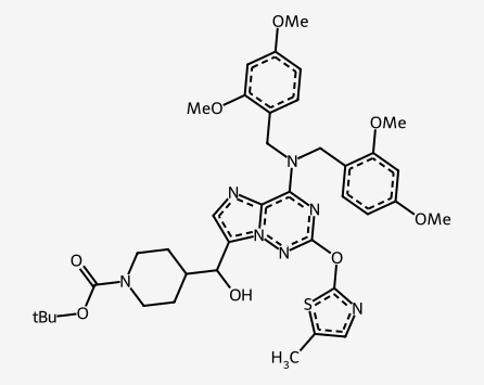 COc1ccc(CN(Cc2ccc(OC)cc2OC)c2nc(Oc3ncc(C)s3)nn3c(C(O)C4CCN(C(=O)OC(C)(C)C)CC4)cnc23)c(OC)c1